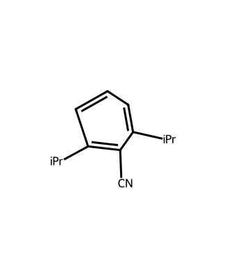 [CH2]C(C)c1cccc(C(C)C)c1C#N